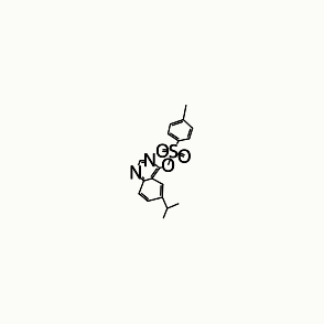 Cc1ccc(S(=O)(=O)Oc2ncnc3ccc(C(C)C)cc23)cc1